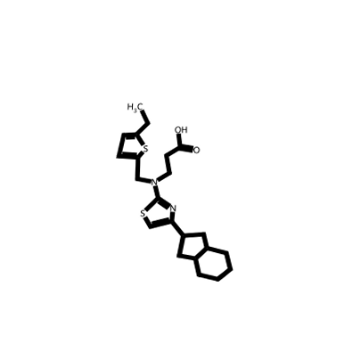 CCc1ccc(CN(CCC(=O)O)c2nc(C3CC4CCCCC4C3)cs2)s1